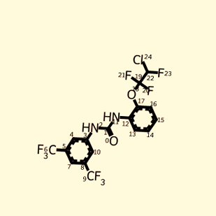 O=C(Nc1cc(C(F)(F)F)cc(C(F)(F)F)c1)Nc1ccccc1OC(F)(F)C(F)Cl